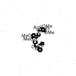 CCc1c(OC)cc(C(=O)N2CCC(CCN3CCC(C(=O)c4nc5ccccc5n4Cc4ccco4)CC3)(c3ccc(OC)c(OC)c3)C2)c(OC(C)=O)c1OC